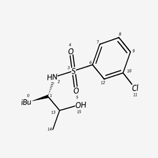 CC[C@H](C)[C@H](NS(=O)(=O)c1cccc(Cl)c1)C(C)O